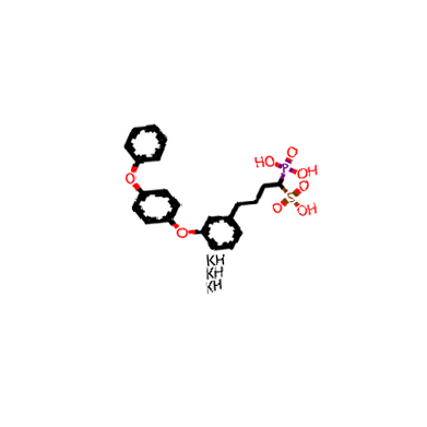 O=P(O)(O)C(CCCc1cccc(Oc2ccc(Oc3ccccc3)cc2)c1)S(=O)(=O)O.[KH].[KH].[KH]